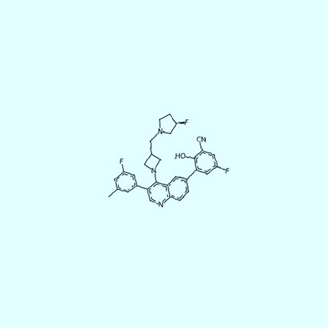 Cc1cc(F)cc(-c2cnc3ccc(-c4cc(F)cc(C#N)c4O)cc3c2N2CC(CN3CC[C@@H](F)C3)C2)c1